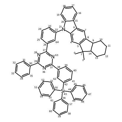 CC1(C)c2cc3c(cc2C2CCCCC21)c1ccccc1n3-c1cccc(-c2nc(-c3ccccc3)nc(-c3cccc([Si](c4ccccc4)(c4ccccc4)c4ccccc4)c3)n2)c1